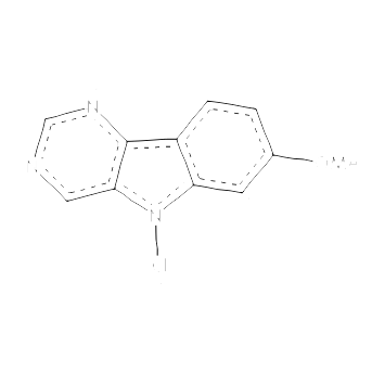 COc1ccc2c3ncncc3n(Cl)c2c1